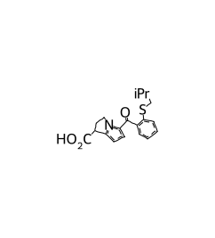 CC(C)CSc1ccccc1C(=O)c1ccc2n1CCC2C(=O)O